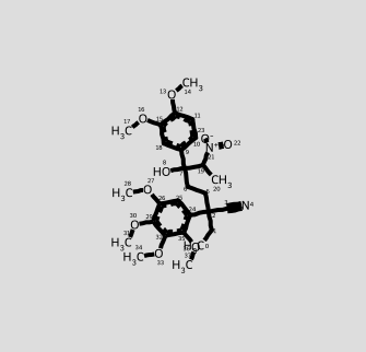 CCC(C#N)(CCC(O)(c1ccc(OC)c(OC)c1)C(C)[N+](=O)[O-])c1cc(OC)c(OC)c(OC)c1OC